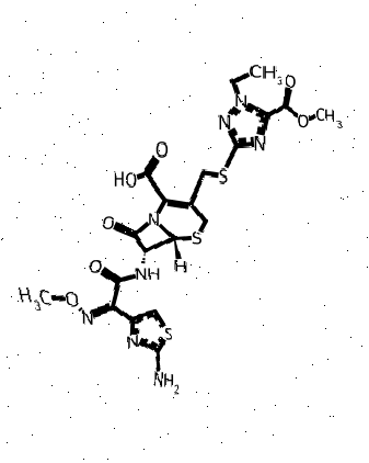 CCn1nc(SCC2=C(C(=O)O)N3C(=O)[C@@H](NC(=O)/C(=N\OC)c4csc(N)n4)[C@H]3SC2)nc1C(=O)OC